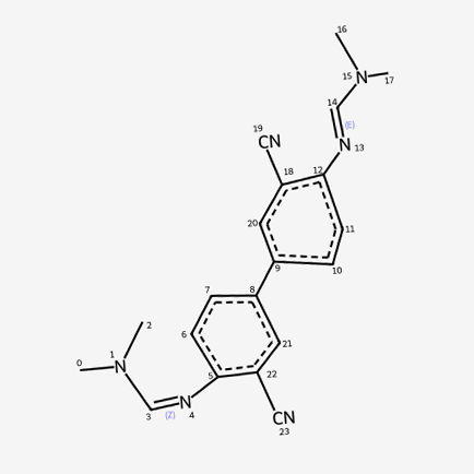 CN(C)/C=N\c1ccc(-c2ccc(/N=C/N(C)C)c(C#N)c2)cc1C#N